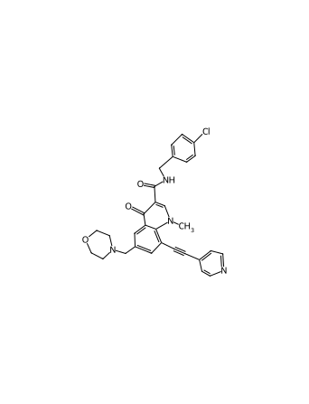 Cn1cc(C(=O)NCc2ccc(Cl)cc2)c(=O)c2cc(CN3CCOCC3)cc(C#Cc3ccncc3)c21